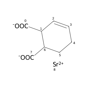 O=C([O-])C1C=CCCC1C(=O)[O-].[Sr+2]